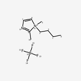 CCCC[N+]1(C)C=CN=C1C.F[B-](F)(F)F